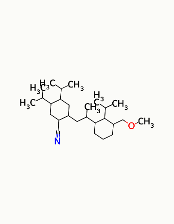 COCC1CCCC(C(C)CC2CC(C(C)C)C(C(C)C)CC2C#N)C1C(C)C